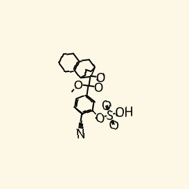 COC1(c2ccc(C#N)c(OS(=O)(=O)O)c2)OOC12C1CCCC2C2=C(CCCC2)C1